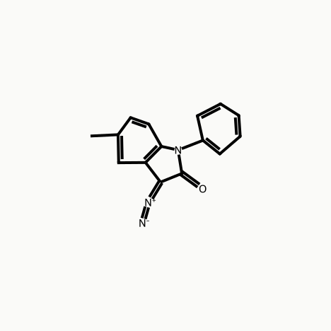 Cc1ccc2c(c1)C(=[N+]=[N-])C(=O)N2c1ccccc1